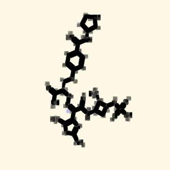 Cc1sc(N)nc1/C(=N/O[C@@H](COc1ccc(C(=N)N[C@@H]2CCNC2)cc1)C(=O)O)C(=O)N[C@@H]1CN(OS(=O)(=O)O)[C@H]1C